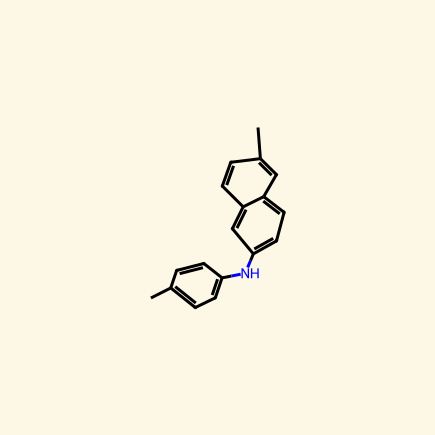 Cc1ccc(Nc2ccc3cc(C)ccc3c2)cc1